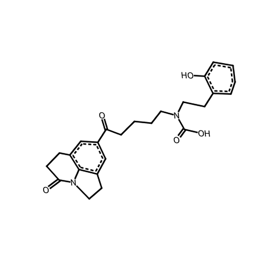 O=C(CCCCN(CCc1ccccc1O)C(=O)O)c1cc2c3c(c1)CCN3C(=O)CC2